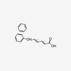 C/C=C/C=C/C(=O)O.Oc1ccccc1.c1ccccc1